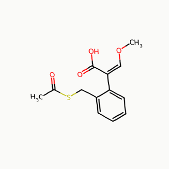 COC=C(C(=O)O)c1ccccc1CSC(C)=O